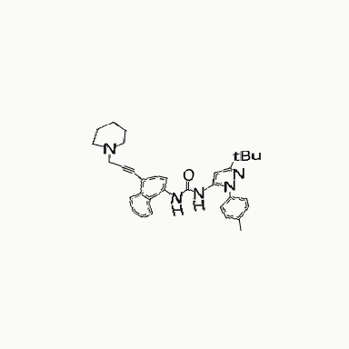 Cc1ccc(-n2nc(C(C)(C)C)cc2NC(=O)Nc2ccc(C#CCN3CCCCC3)c3ccccc23)cc1